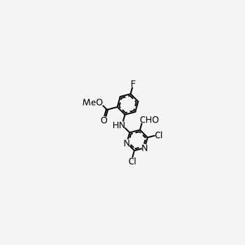 COC(=O)c1cc(F)ccc1Nc1nc(Cl)nc(Cl)c1C=O